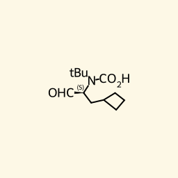 CC(C)(C)N(C(=O)O)[C@H](C=O)CC1CCC1